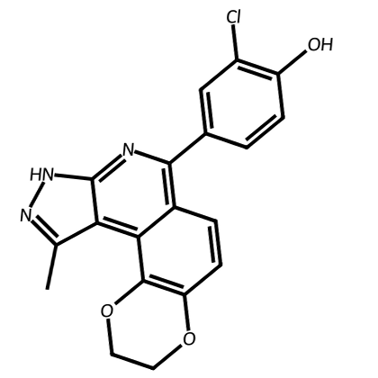 Cc1n[nH]c2nc(-c3ccc(O)c(Cl)c3)c3ccc4c(c3c12)OCCO4